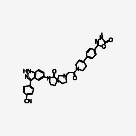 Cn1nc(-c2ccc(C3=CCN(C(=O)CN4CC[C@]5(CCN(c6ccc7[nH]nc(-c8ccc(C#N)cc8)c7c6)C5=O)C4)CC3)cc2)oc1=O